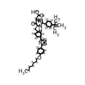 CCCCCCCOc1ccc(-c2nc(-c3ccc(C[C@H](NC(O)c4ccc(C(C)(C)C)cc4)C(=O)NCC(=O)O)cc3)no2)cc1